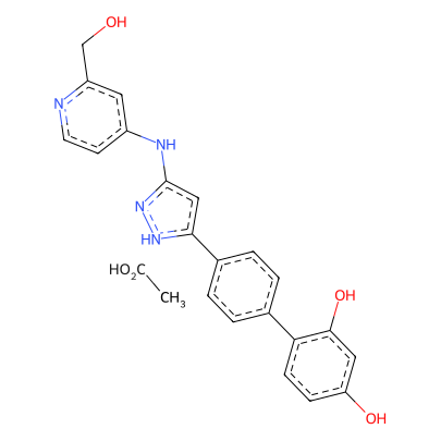 CC(=O)O.OCc1cc(Nc2cc(-c3ccc(-c4ccc(O)cc4O)cc3)[nH]n2)ccn1